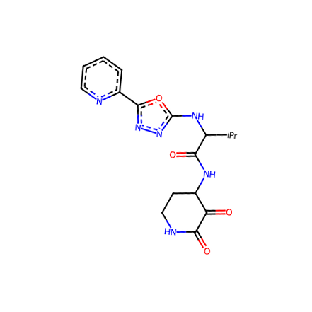 CC(C)C(Nc1nnc(-c2ccccn2)o1)C(=O)NC1CCNC(=O)C1=O